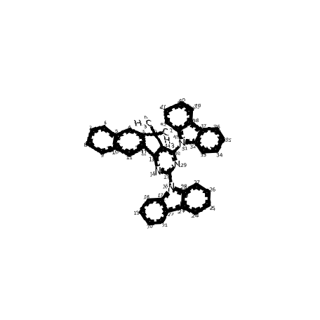 CC1(C)c2cc3ccccc3cc2-c2nc(-n3c4ccccc4c4ccccc43)nc(-n3c4ccccc4c4ccccc43)c21